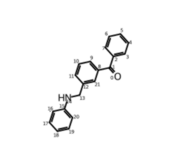 O=C(c1ccccc1)c1cccc(CNc2[c]cccc2)c1